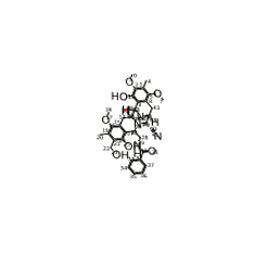 COc1c(C)c(OC)c2c(c1O)[C@H]1[C@@H]3Cc4c(OC)c(C)c(CO)c(O)c4[C@H](CNC(=O)c4ccccc4)N3[C@@H](C#N)[C@H](C2)N1C